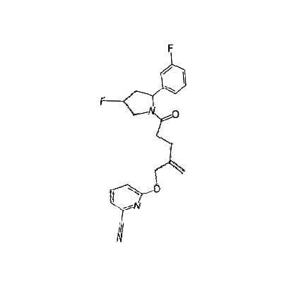 C=C(CCC(=O)N1CC(F)CC1c1cccc(F)c1)COc1cccc(C#N)n1